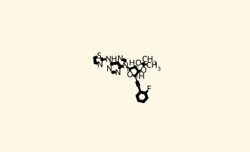 CC1(C)O[C@@H]2[C@H](O1)[C@@H](C#Cc1ccccc1F)O[C@H]2n1cnc2c(Nc3nccs3)ncnc21